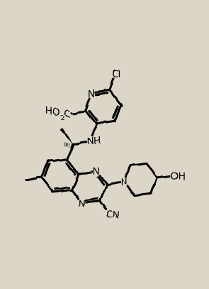 Cc1cc([C@@H](C)Nc2ccc(Cl)nc2C(=O)O)c2nc(N3CCC(O)CC3)c(C#N)nc2c1